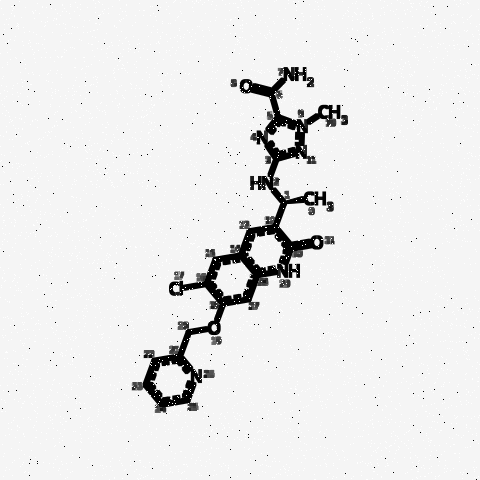 C[C@H](Nc1nc(C(N)=O)n(C)n1)c1cc2cc(Cl)c(OCc3ccccn3)cc2[nH]c1=O